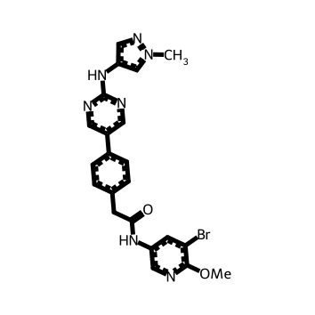 COc1ncc(NC(=O)Cc2ccc(-c3cnc(Nc4cnn(C)c4)nc3)cc2)cc1Br